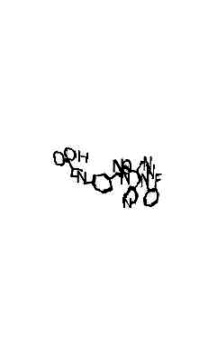 O=C(O)C1CN(CC2=CC=C(c3noc(C4=C(c5ccncc5)N(C5=C(F)CC=CC=C5)N=NC4)n3)C=CC2)C1